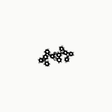 O=[SH]1(c2ccccc2)c2ccc(N3c4cc5c(cc4C4C=CC=CC43)c3ccccc3n5-c3ccccc3)cc2Oc2cc(-n3c4ccccc4c4cc5c6ccccc6n(-c6ccccc6)c5cc43)ccc21